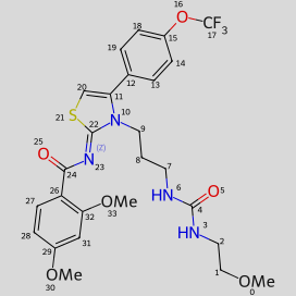 COCCNC(=O)NCCCn1c(-c2ccc(OC(F)(F)F)cc2)cs/c1=N\C(=O)c1ccc(OC)cc1OC